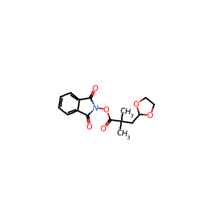 CC(C)(CC1OCCO1)C(=O)ON1C(=O)c2ccccc2C1=O